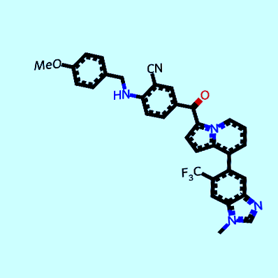 COc1ccc(CNc2ccc(C(=O)c3ccc4c(-c5cc6ncn(C)c6cc5C(F)(F)F)cccn34)cc2C#N)cc1